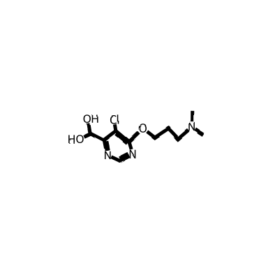 CN(C)CCCOc1ncnc(C(O)O)c1Cl